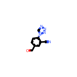 N#Cc1cc(C=O)ccc1-n1cnnn1